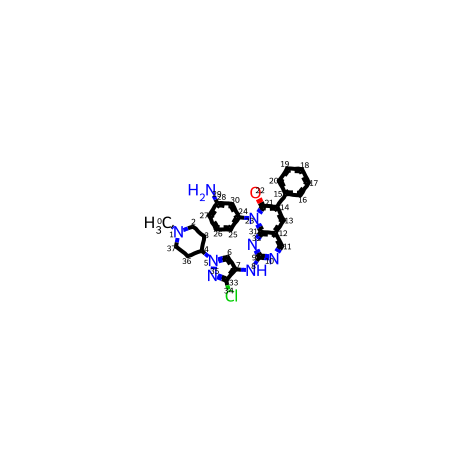 CN1CCC(n2cc(Nc3ncc4cc(-c5ccccc5)c(=O)n(-c5cccc(N)c5)c4n3)c(Cl)n2)CC1